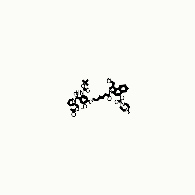 COc1cc(C(=O)N2CCCC2COC(C)=O)c(NC(=O)OC(C)(C)C)cc1OCCCCCC(=O)N1CC(CCl)c2c1cc(OC(=O)N1CCN(C)CC1)c1ccccc21